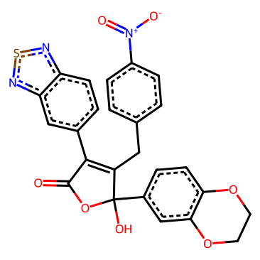 O=C1OC(O)(c2ccc3c(c2)OCCO3)C(Cc2ccc([N+](=O)[O-])cc2)=C1c1ccc2nsnc2c1